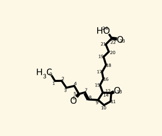 CCCCCC(=O)C=CC1CCC(=O)C1CCCCCCCC(=O)O